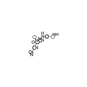 O=c1c(-c2ccc(-c3cnco3)cn2)cc2cnc(Nc3ccc(C4CCCNC4)cc3)nc2n1C1CCCC1